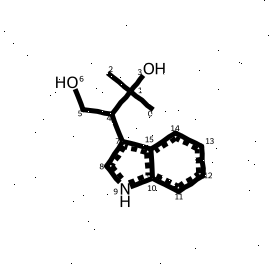 CC(C)(O)C(CO)c1c[nH]c2ccccc12